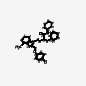 Cc1cccc2c1nc(COc1ccc(Cl)cc1)n2CCC(Cc1ccccc1)C(=O)NN1CCCCC1